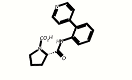 O=C(Nc1ccccc1-c1ccncc1)[C@@H]1CCCN1C(=O)O